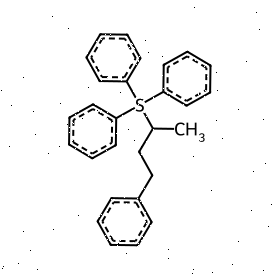 CC(CCc1ccccc1)S(c1ccccc1)(c1ccccc1)c1ccccc1